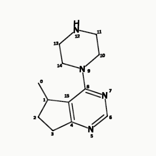 CC1CCc2ncnc(N3CCNCC3)c21